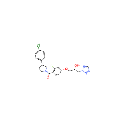 O=C(c1ccc(OC[C@H](O)Cn2ncnn2)cc1F)N1CC[C@H](c2ccc(Cl)cc2)C1